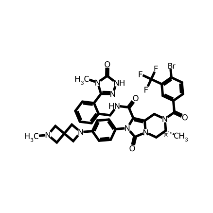 C[C@@H]1Cn2c(c(C(=O)NCc3ccccc3-c3n[nH]c(=O)n3C)n(-c3ccc(N4CC5(CN(C)C5)C4)cc3)c2=O)CN1C(=O)c1ccc(Br)c(C(F)(F)F)c1